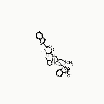 CN(C[C@H](O)CNC(=O)[C@H](CC1CCCC1)NC(=O)c1cc2ccccc2s1)S(=O)(=O)c1ccccc1[N+](=O)[O-]